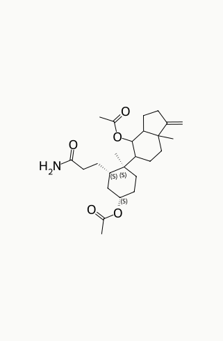 C=C1CCC2C(OC(C)=O)C([C@@]3(C)CC[C@H](OC(C)=O)C[C@@H]3CCC(N)=O)CCC12C